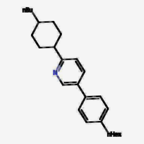 CCCCCCc1ccc(-c2ccc(C3CCC(CCCC)CC3)nc2)cc1